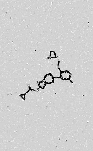 Cc1cc(-c2ccn3nc(NC(=O)C4CC4)cc3c2)c(OC[C@H]2CCN2)cn1